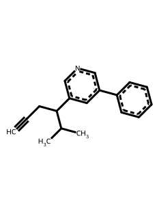 C#CCC(c1cncc(-c2ccccc2)c1)C(C)C